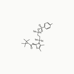 [2H]C([2H])(CCC([2H])([2H])n1c(C)c(C)sc1=NC(=O)C1C(C)(C)C1(C)C)OS(=O)(=O)c1ccc(C)cc1